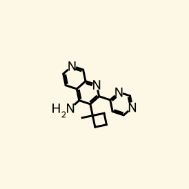 CC1(c2c(-c3ccncn3)nc3cnccc3c2N)CCC1